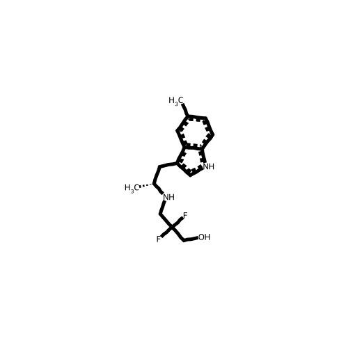 Cc1ccc2[nH]cc(C[C@@H](C)NCC(F)(F)CO)c2c1